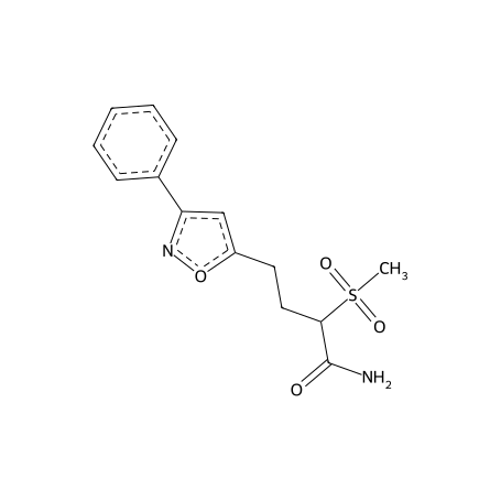 CS(=O)(=O)C(CCc1cc(-c2ccccc2)no1)C(N)=O